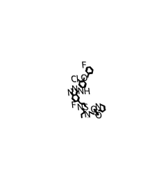 CCC(c1nc(-c2cc3c(Nc4ccc(OCc5cccc(F)c5)c(Cl)c4)ncnc3cc2F)cs1)N(C)CCS(=O)(=O)c1ccccn1